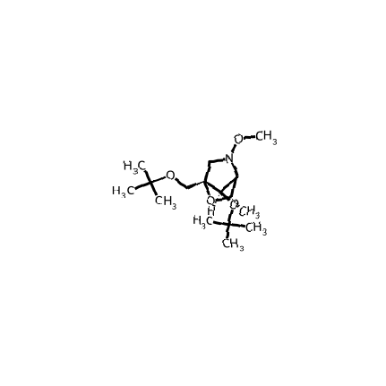 CON1C[C@@]2(COC(C)(C)C)O[C@@H](C)C1[C@H]2OC(C)(C)C